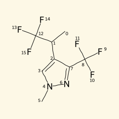 CC(c1cn(C)nc1C(F)(F)F)C(F)(F)F